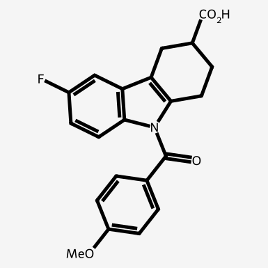 COc1ccc(C(=O)n2c3c(c4cc(F)ccc42)CC(C(=O)O)CC3)cc1